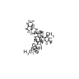 CCS(=O)(=O)NC(=O)c1cnn2c(Nc3ccc(F)cc3C)c(C(=O)N3CCC4(C=Cc5ccccc54)CC3)cnc12